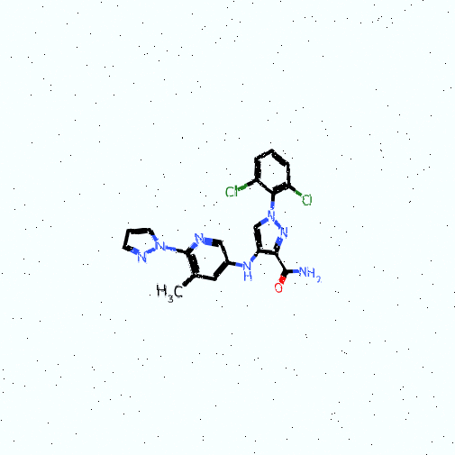 Cc1cc(Nc2cn(-c3c(Cl)cccc3Cl)nc2C(N)=O)cnc1-n1cccn1